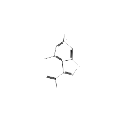 CC(=O)C(=O)c1c[nH]c2cc(F)cc(F)c12